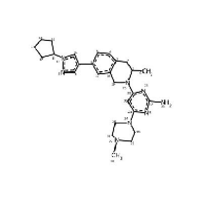 CC1Cc2ccc(-c3cnn(C4CCCC4)c3)cc2CN1c1cc(N2CCN(C)CC2)nc(N)n1